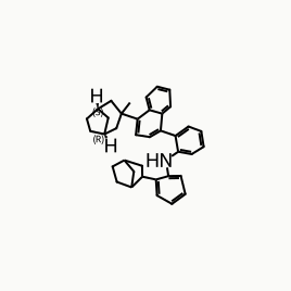 CC1(c2ccc(-c3ccccc3Nc3ccccc3C3CC4CCC3C4)c3ccccc23)C[C@@H]2CC[C@@H](C2)C1